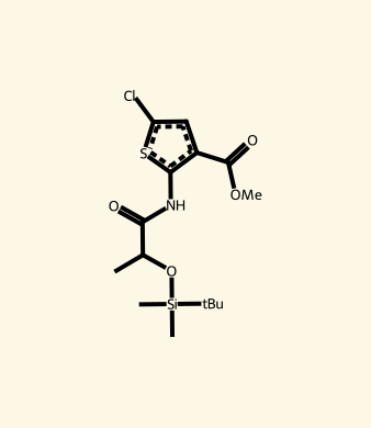 COC(=O)c1cc(Cl)sc1NC(=O)C(C)O[Si](C)(C)C(C)(C)C